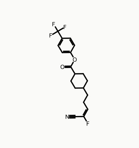 N#C/C(F)=C\CCC1CCC(C(=O)Oc2ccc(C(F)(F)F)cc2)CC1